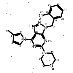 Cc1ccn(-c2nc(N3CCOCC3)nc3c2nnn3Cc2ccccc2Cl)c1